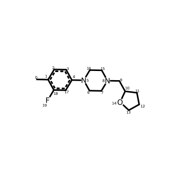 Cc1ccc(N2CCN(CC3CCCO3)CC2)cc1F